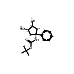 CC(C)(C)OC(=O)N[C@@]1(c2ccccc2)C[C@@H](O)[C@@H](O)C1